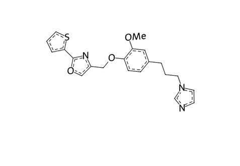 COc1cc(CCCn2ccnc2)ccc1OCc1coc(-c2cccs2)n1